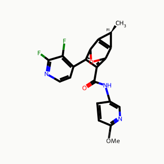 COc1ccc(NC(=O)c2c(-c3ccnc(F)c3F)c3oc2c2c3[C@H]2C)cn1